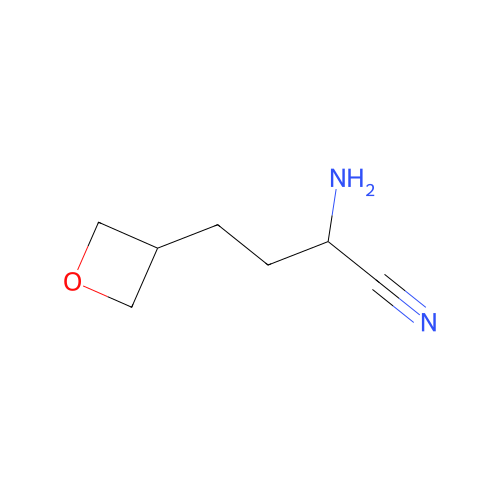 N#CC(N)CCC1COC1